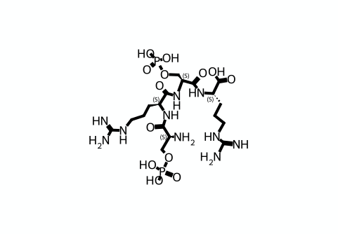 N=C(N)NCCC[C@H](NC(=O)[C@H](COP(=O)(O)O)NC(=O)[C@H](CCCNC(=N)N)NC(=O)[C@@H](N)COP(=O)(O)O)C(=O)O